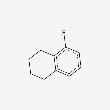 Fc1cccc2c1[CH]CCC2